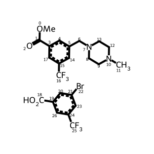 COC(=O)c1cc(CN2CCN(C)CC2)cc(C(F)(F)F)c1.O=C(O)c1cc(Br)cc(C(F)(F)F)c1